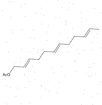 CC=CCCC=CCCC=CCOC(C)=O